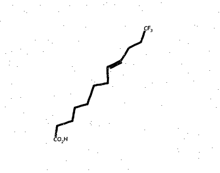 O=C(O)CCCCCCC=CCCC(F)(F)F